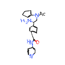 CC(=O)N(CC(N)c1ccc(C(=O)Nc2ccncc2)cc1)C1=CCCC1